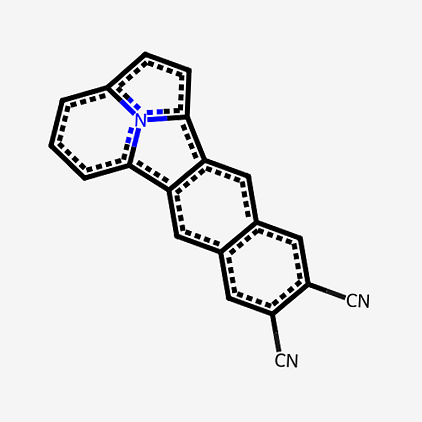 N#Cc1cc2cc3c(cc2cc1C#N)c1ccc2cccc3n21